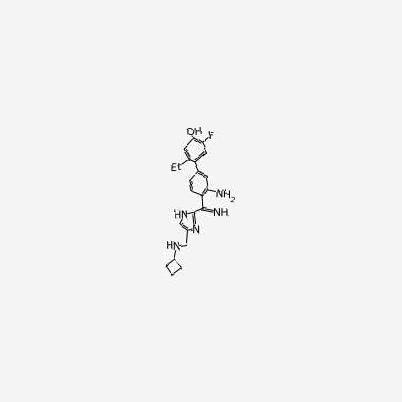 CCc1cc(O)c(F)cc1-c1ccc(C(=N)c2nc(CNC3CCC3)c[nH]2)c(N)c1